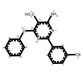 N#Cc1cccc(-c2nc(N)c(C(=O)O)c(Oc3ccccc3)n2)c1